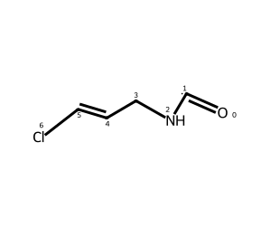 O=[C]NCC=CCl